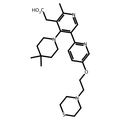 Cc1ncc(-c2ccc(OCCN3CCSCC3)cn2)c(N2CCC(C)(C)CC2)c1CC(=O)O